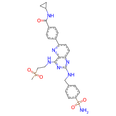 CS(=O)(=O)CCNc1nc(NCc2ccc(S(N)(=O)=O)cc2)nc2ccc(-c3ccc(C(=O)NC4CC4)cc3)nc12